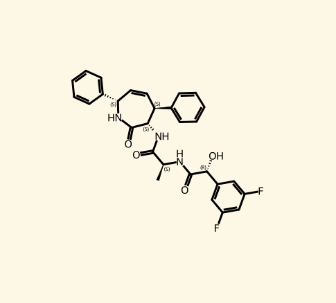 C[C@H](NC(=O)[C@H](O)c1cc(F)cc(F)c1)C(=O)N[C@@H]1C(=O)N[C@H](c2ccccc2)C=C[C@H]1c1ccccc1